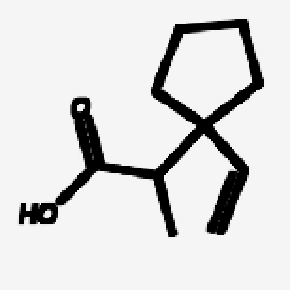 C=CC1(C(C)C(=O)O)CCCC1